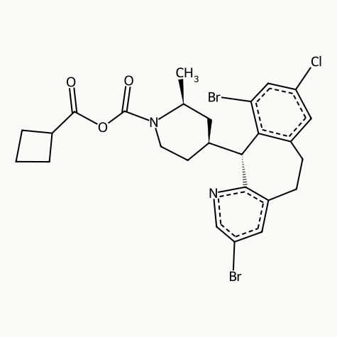 C[C@H]1C[C@@H]([C@H]2c3ncc(Br)cc3CCc3cc(Cl)cc(Br)c32)CCN1C(=O)OC(=O)C1CCC1